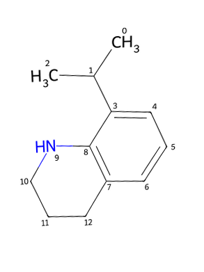 CC(C)c1cccc2c1NCCC2